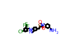 NC[C@H]1CC[C@H](CN2C(=O)S/C(=C\c3ccc4c(cnn4Cc4ccc(Cl)cc4C(F)(F)F)c3)C2=O)CC1